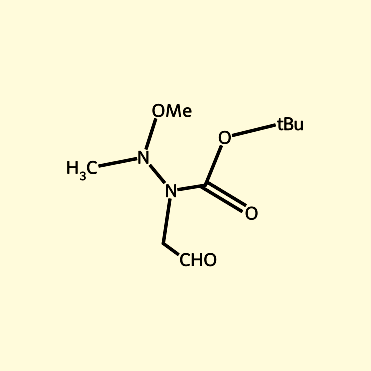 CON(C)N(CC=O)C(=O)OC(C)(C)C